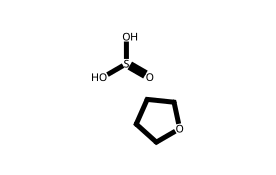 C1CCOC1.O=S(O)O